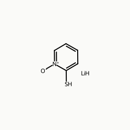 [LiH].[O-][n+]1ccccc1S